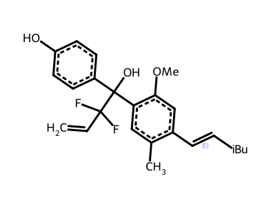 C=CC(F)(F)C(O)(c1ccc(O)cc1)c1cc(C)c(/C=C/C(C)CC)cc1OC